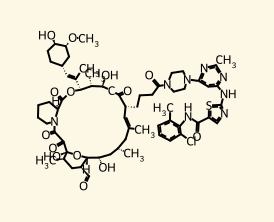 CO[C@@H]1C[C@H](/C=C(\C)[C@H]2OC(=O)[C@@H]3CCCCN3C(=O)C(=O)[C@]3(O)O[C@H]([C@@H](O)C[C@@H](C)C/C(C)=C/[C@@H](CCCC(=O)N4CCN(c5cc(Nc6ncc(C(=O)Nc7c(C)cccc7Cl)s6)nc(C)n5)CC4)C(=O)C[C@H](O)[C@H]2C)[C@@H](C=O)C[C@H]3C)CC[C@H]1O